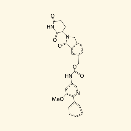 COc1cc(NC(=O)OCc2ccc3c(c2)C(=O)N(C2CCC(=O)NC2=O)C3)cnc1-c1ccccc1